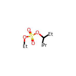 CCOS(=O)(=O)OC(CC)C(C)C